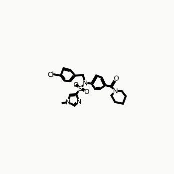 Cn1cnc(S(=O)(=O)N(Cc2ccc(Cl)cc2)c2ccc(C(=O)N3CCCCC3)cc2)c1